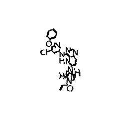 C=CC(=O)N1C[C@@H]2C[C@H]1CN2c1ccc2ncnc(Nc3cnc(Oc4ccccc4)c(Cl)c3)c2n1